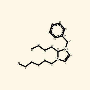 CCCCCCN1C=CN(Cc2ccccc2)C1CCCC